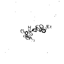 CCOC(=O)c1cc(C(=O)Nc2cc(Cl)cc(S(C)(=O)=O)c2)cn1-c1ccccn1